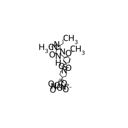 CCCc1nn(C)c2c(=O)[nH]c(-c3cc(S(=O)(=O)N4CCC([C@H](CO[N+](=O)[O-])O[N+](=O)[O-])CC4)ccc3OCC)nc12